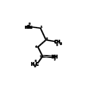 CCCCCC(C)CC(C)=N